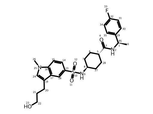 C[C@@H](NC(=O)[C@H]1CC[C@H](NS(=O)(=O)c2ccc3c(c2)c(CCCO)cn3C)CC1)c1ccc(F)cc1